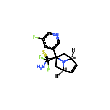 NC(=S)C1(c2cncc(F)c2)C[C@H]2C=C[C@@H](C1)N2CC(F)F